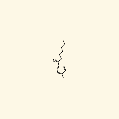 CCCCCCC(=O)c1ccc(C)cc1